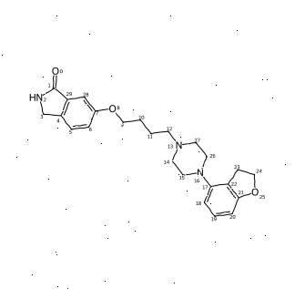 O=C1NCc2ccc(OCCCCN3CCN(c4cccc5c4CCO5)CC3)cc21